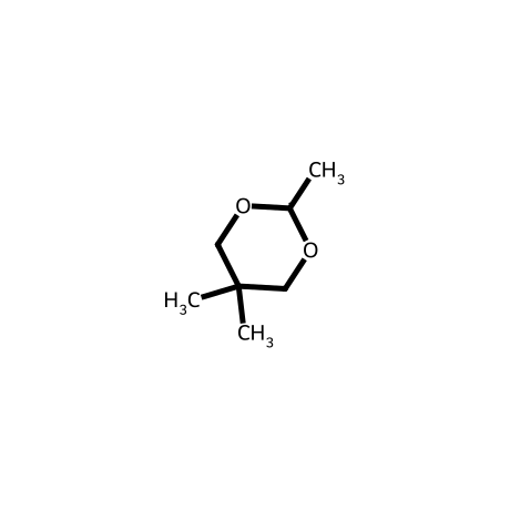 C[C]1OCC(C)(C)CO1